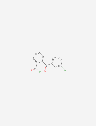 O=C(Cl)c1ccccc1C(=O)c1cccc(Cl)c1